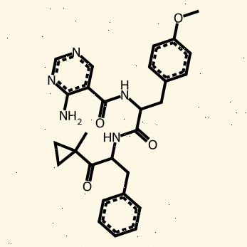 COc1ccc(CC(NC(=O)c2cncnc2N)C(=O)NC(Cc2ccccc2)C(=O)C2(C)CC2)cc1